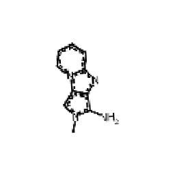 Cn1cc2c(nc3ccccn32)c1N